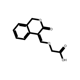 O=C(O)CO/C=C1\C(=O)OCc2ccccc21